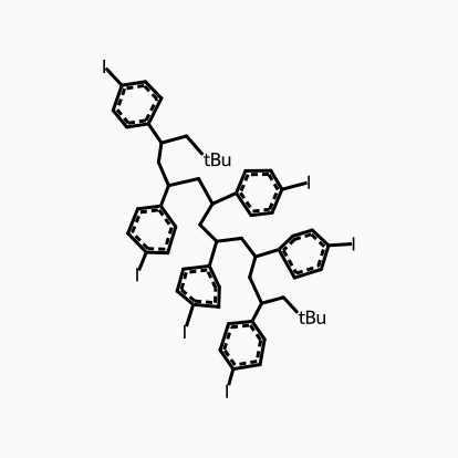 CC(C)(C)CC(CC(CC(CC(CC(CC(CC(C)(C)C)c1ccc(I)cc1)c1ccc(I)cc1)c1ccc(I)cc1)c1ccc(I)cc1)c1ccc(I)cc1)c1ccc(I)cc1